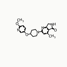 COc1ccc(OC2CCN(c3cc(C)c4c(n3)CNC4=O)CC2)cn1